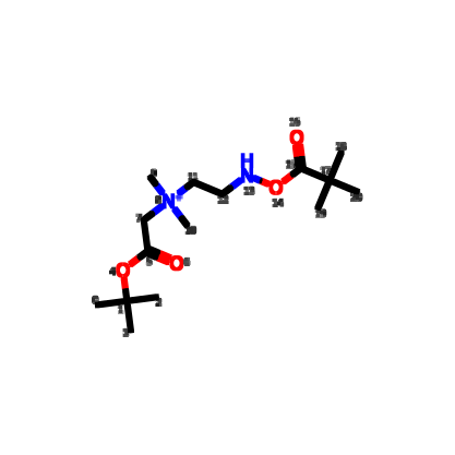 CC(C)(C)OC(=O)C[N+](C)(C)CCNOC(=O)C(C)(C)C